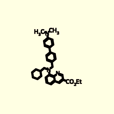 CCOC(=O)c1cnc2c(N(Cc3ccc(-c4ccc(N(C)C)cc4)cc3)CC3CCCCC3)cccc2c1